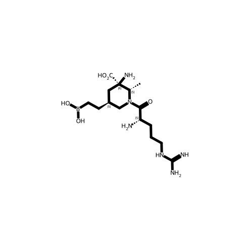 C[C@@H]1N(C(=O)[C@@H](N)CCCNC(=N)N)C[C@@H](CCB(O)O)C[C@]1(N)C(=O)O